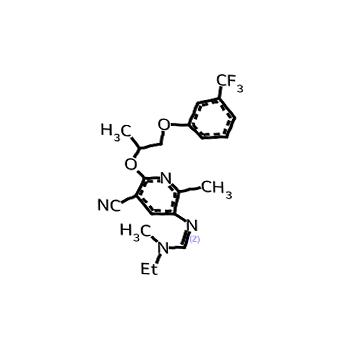 CCN(C)/C=N\c1cc(C#N)c(OC(C)COc2cccc(C(F)(F)F)c2)nc1C